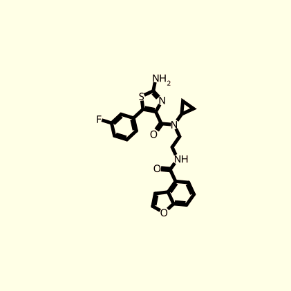 Nc1nc(C(=O)N(CCNC(=O)c2cccc3occc23)C2CC2)c(-c2cccc(F)c2)s1